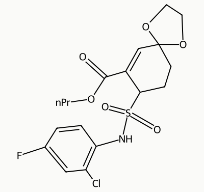 CCCOC(=O)C1=CC2(CCC1S(=O)(=O)Nc1ccc(F)cc1Cl)OCCO2